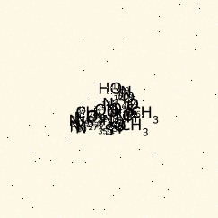 CO[C@@]1(NC(=O)C(c2onc(O)c2C#N)S(C)(=O)=O)C(=O)N2C(C(=O)O)=C(CSc3nnnn3C)CS[C@H]21